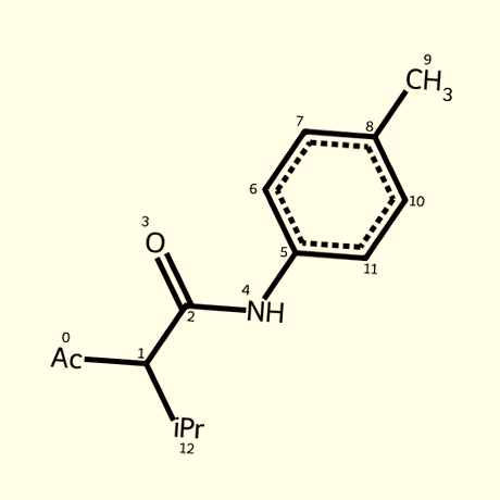 CC(=O)C(C(=O)Nc1ccc(C)cc1)C(C)C